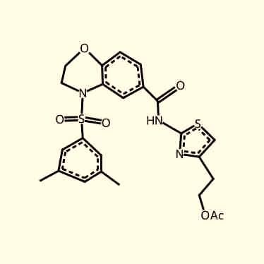 CC(=O)OCCc1csc(NC(=O)c2ccc3c(c2)N(S(=O)(=O)c2cc(C)cc(C)c2)CCO3)n1